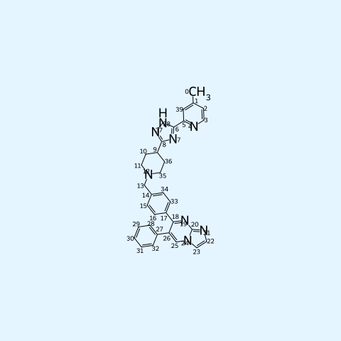 Cc1ccnc(-c2nc(C3CCN(Cc4ccc(-c5nc6nccn6cc5-c5ccccc5)cc4)CC3)n[nH]2)c1